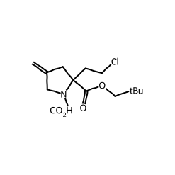 C=C1CN(C(=O)O)C(CCCl)(C(=O)OCC(C)(C)C)C1